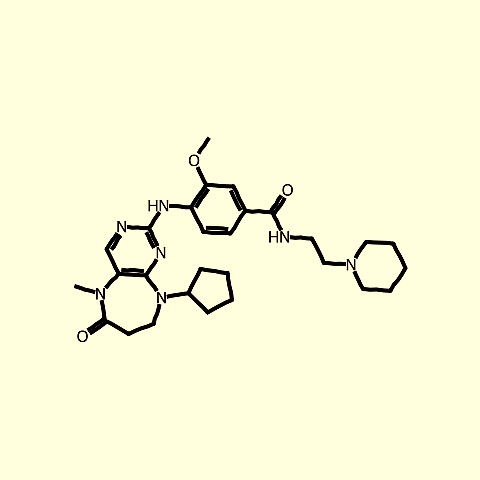 COc1cc(C(=O)NCCN2CCCCC2)ccc1Nc1ncc2c(n1)N(C1CCCC1)CCC(=O)N2C